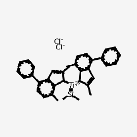 CC1=Cc2c(-c3ccccc3)ccc(C)c2[CH]1[Ti+2]([CH]1C(C)=Cc2c(-c3ccccc3)ccc(C)c21)=[Si](C)C.[Cl-].[Cl-]